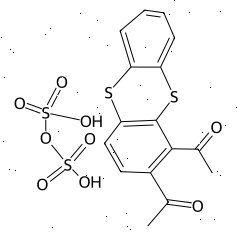 CC(=O)c1ccc2c(c1C(C)=O)Sc1ccccc1S2.O=S(=O)(O)OS(=O)(=O)O